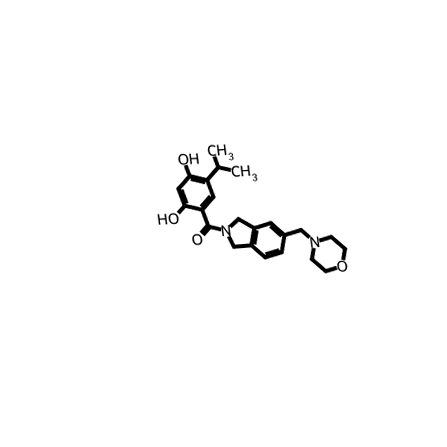 CC(C)c1cc(C(=O)N2Cc3ccc(CN4CCOCC4)cc3C2)c(O)cc1O